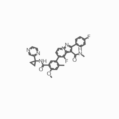 CNC(=O)c1c(-c2ccc(F)cc2)nn2ccc(-c3cc(C(=O)NC4(c5cnccn5)CC4)c(OC)cc3C)c(F)c12